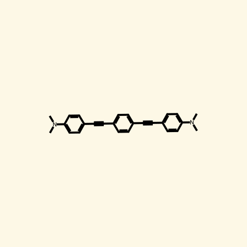 CN(C)c1ccc(C#Cc2ccc(C#Cc3ccc(N(C)C)cc3)cc2)cc1